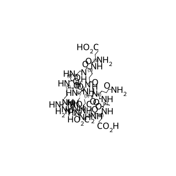 C[C@H](NC(=O)CNC(=O)[C@H](CCC(N)=O)NC(=O)[C@@H](N)CCC(=O)O)C(=O)N[C@@H](CCCNC(=N)N)C(=O)N[C@@H](CCCNC(=N)N)C(=O)N[C@@H](CCCNC(=N)N)C(=O)N[C@@H](CCC(N)=O)C(=O)N[C@@H](C)C(=O)N[C@@H](CCC(=O)O)C(=O)N[C@@H](CCC(=O)O)C(=O)O